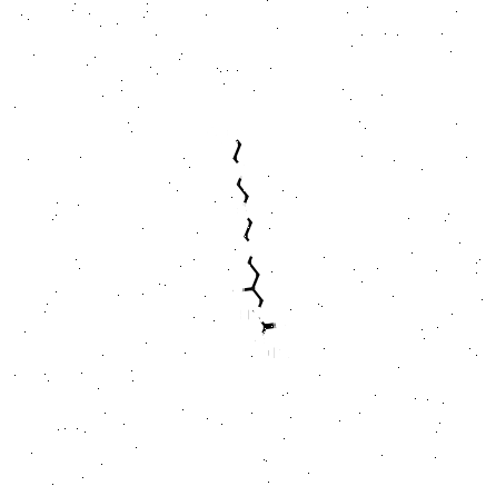 CC(C)(C)OC(=O)NCC(O)CCOCCOCCOCCC(=O)O